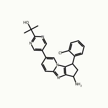 CC(C)(O)c1ncc(-c2ccc3nc4c(n3c2)C(c2ccccc2Cl)CC4N)cn1